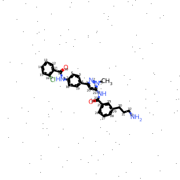 Cn1nc(-c2ccc(NC(=O)c3ccccc3Cl)cc2)cc1NC(=O)c1cccc(CCCN)c1